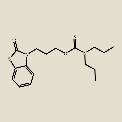 CCCN(CCC)C(=S)OCCCn1c(=O)sc2ccccc21